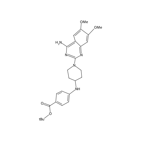 COc1cc2nc(N3CCC(Nc4ccc(C(=O)OC(C)(C)C)cc4)CC3)nc(N)c2cc1OC